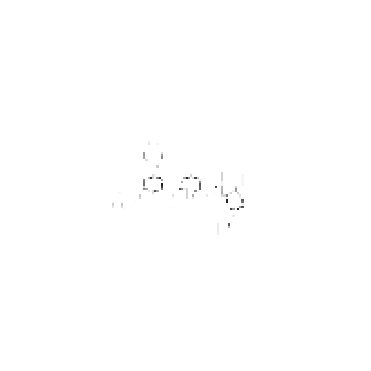 Cc1ccc(CO)cc1NCc1ccnc(Nc2cc(N3CCOCC3)cc(N3CCOCC3)c2)n1